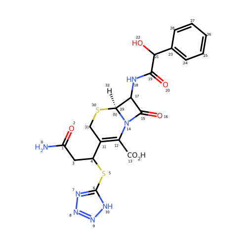 NC(=O)CC(Sc1nnn[nH]1)C1=C(C(=O)O)N2C(=O)C(NC(=O)C(O)c3ccccc3)[C@@H]2SC1